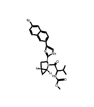 COC(=O)NC(C(=O)N1[C@@H]2C[C@@H]2C[C@H]1c1nc(-c2ccc3cc(Br)ccc3c2)c[nH]1)C(C)C